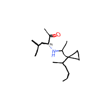 CCC(C)C1(C(C)N[C@@H](C(C)=O)C(C)C)CC1